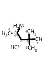 C[C@H](N)CC(C)(C)C.Cl